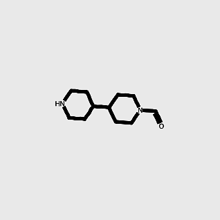 O=CN1CCC(C2CCNCC2)CC1